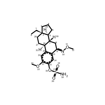 CC[C@@]12CCC[C@H]1[C@@H]1C/C(=N\OC)c3cc(OS(N)(=O)=O)c(OC)cc3[C@H]1CC2